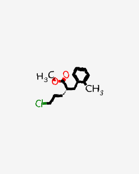 COC(=O)[C@@H](CCCCl)Cc1ccccc1C